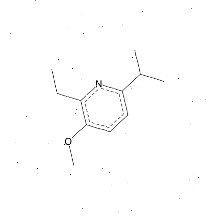 CCc1nc(C(C)C)ccc1OC